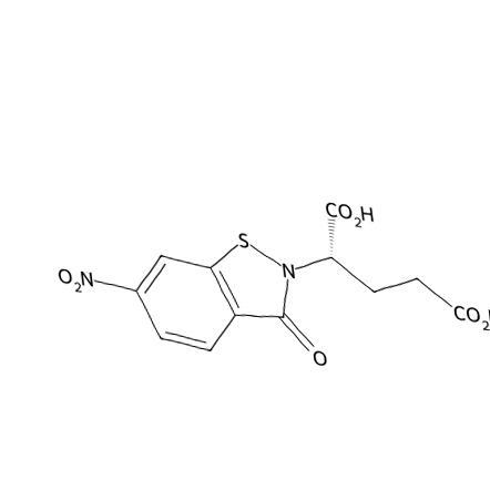 CCOC(=O)CC[C@@H](C(=O)O)n1sc2cc([N+](=O)[O-])ccc2c1=O